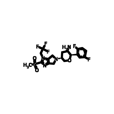 CS(=O)(=O)c1nc2c(n1CC(F)(F)F)CN([C@H]1CO[C@H](c3cc(F)ccc3F)[C@@H](N)C1)C2